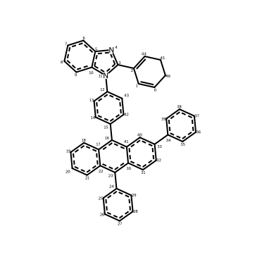 C1=CC(c2nc3ccccc3n2-c2ccc(-c3c4ccccc4c(-c4ccccc4)c4ccc(-c5ccccc5)cc34)cc2)=CCC1